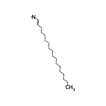 CCCCCCCCCCCCCCCC/C=C/[N]